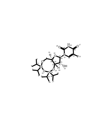 CC(C)[Si]1(C(C)C)OC[C@H]2O[C@@H](n3cc(F)c(=O)[nH]c3=O)[C@H](O)[C@@H]2O[Si](C(C)C)(C(C)C)O1